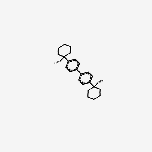 CCCC1(c2ccc(-c3ccc(C4(CCC)CCCCC4)cc3)cc2)CCCCC1